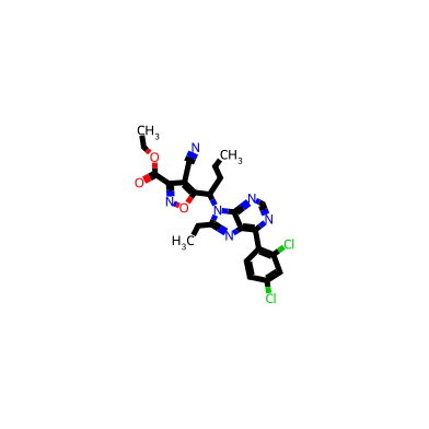 CCCC(c1onc(C(=O)OCC)c1C#N)n1c(CC)nc2c(-c3ccc(Cl)cc3Cl)ncnc21